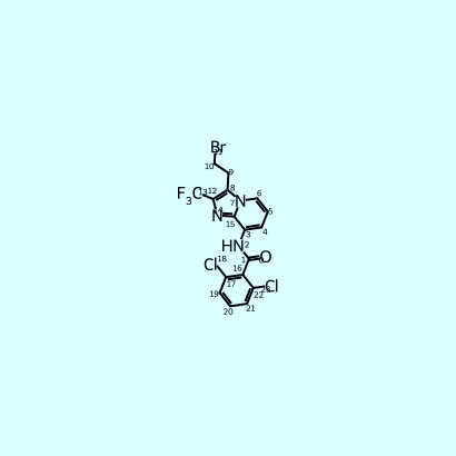 O=C(Nc1cccn2c(CCBr)c(C(F)(F)F)nc12)c1c(Cl)cccc1Cl